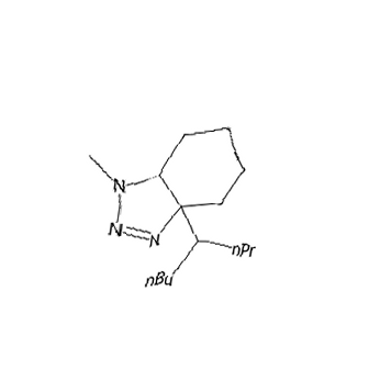 CCCCC(CCC)C12CCCCC1N(C)N=N2